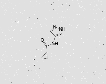 O=C(Nc1cn[nH]c1)C1CC1